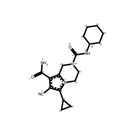 N#Cc1c(C(N)=O)c2n(c1C1CC1)CCN(C(=O)NC1CCCCC1)C2